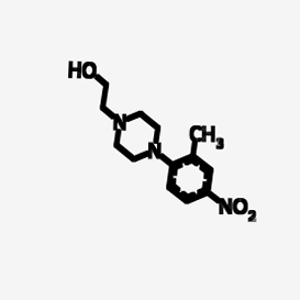 Cc1cc([N+](=O)[O-])ccc1N1CCN(CCO)CC1